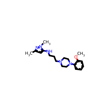 COc1ccccc1N1CCN(CCCNc2cc(C)nn2C)CC1